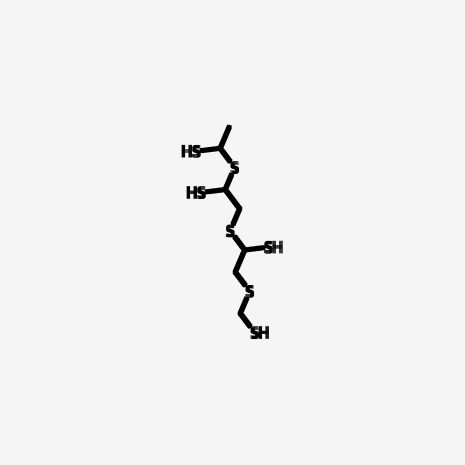 CC(S)SC(S)CSC(S)CSCS